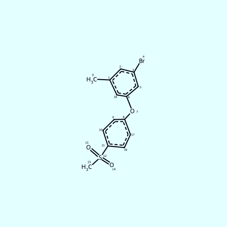 Cc1cc(Br)cc(Oc2ccc(S(C)(=O)=O)cc2)c1